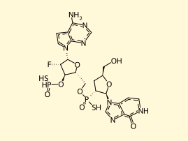 Nc1ncnc2c1ccn2[C@@H]1O[C@H](COP(=O)(S)[C@@H]2C[C@@H](CO)O[C@H]2n2cnc3c(=O)[nH]ccc32)[C@@H](O[PH](=O)S)[C@@H]1F